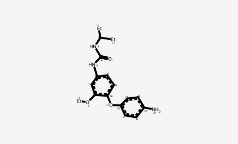 CCOc1cc(NC(=O)NC(CC)CC)ccc1Oc1ccc(N)cc1